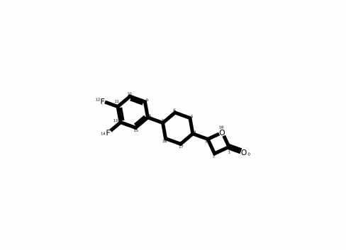 O=C1CC(C2CCC(c3ccc(F)c(F)c3)CC2)O1